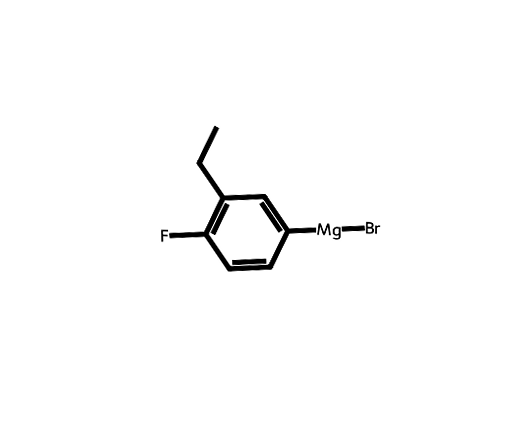 CCc1c[c]([Mg][Br])ccc1F